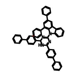 c1ccc(-c2ccc(C3=NC(n4c5ccccc5c5cc(-c6ccccc6)cc(-c6ccccc6)c54)=NC(c4ccc(-c5ccccc5)cc4)N3)cc2)cc1